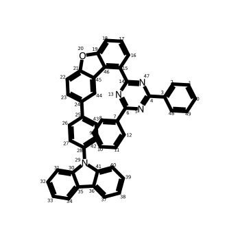 c1ccc(-c2nc(-c3ccccc3)nc(-c3cccc4oc5ccc(-c6ccc(-n7c8ccccc8c8ccccc87)cc6)cc5c34)n2)cc1